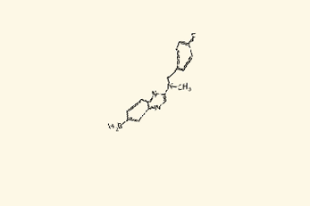 Bc1ccc2nc(N(C)Cc3ccc(F)cc3)cnc2c1